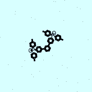 Cc1ccc(P(=O)(c2ccc(C)cc2)c2ccc(-c3cccc(-c4ccc(P(=O)(c5ccc(C)cc5)c5ccc(C)cc5)cc4)c3)cc2)cc1